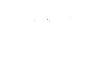 NC(=O)c1nn(CC=O)c2ccc(O)cc12